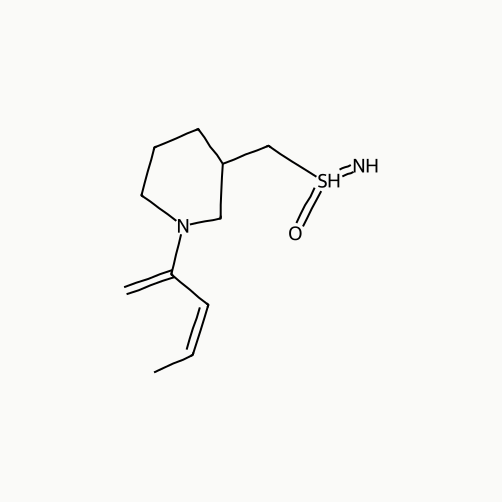 C=C(/C=C\C)N1CCCC(C[SH](=N)=O)C1